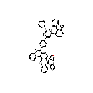 c1ccc(-c2nc(-c3ccc(-c4nc5ccccc5c5c6c(ccc45)C4(c5ccccc5O6)c5ccccc5-c5ccccc54)cc3)cc(-c3cccc4oc5ccccc5c34)n2)cc1